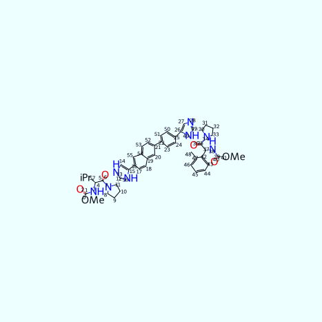 COC(=O)N[C@H](C(=O)N1CCC[C@H]1C1NC=C(c2ccc3cc(-c4ccc(-c5cnc([C@@H]6CCCN6C(=O)[C@H](NC(=O)OC)c6ccccc6C)[nH]5)cc4)ccc3c2)N1)C(C)C